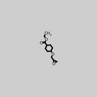 CCOC(=O)C1CCC(OCC2CO2)CC1